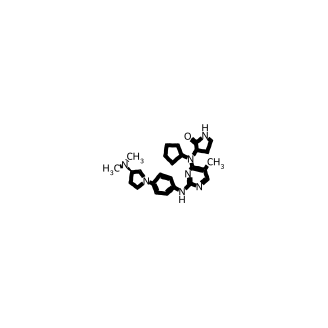 Cc1cnc(Nc2ccc(N3CC[C@@H](N(C)C)C3)cc2)nc1N(C1CCCC1)C1CCNC1=O